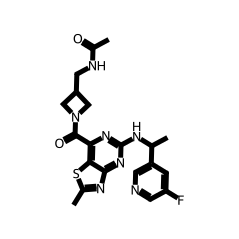 CC(=O)NCC1CN(C(=O)c2nc(NC(C)c3cncc(F)c3)nc3nc(C)sc23)C1